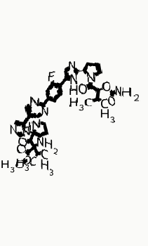 COC(=O)C(N)(C(=O)[C@@]1(n2cncc2-c2cnc(-c3ccc(-c4cnc([C@@H]5CCCN5C(=O)[C@@H](OC(N)=O)C(C)C)[nH]4)c(F)c3)nc2)CCCN1)C(C)C